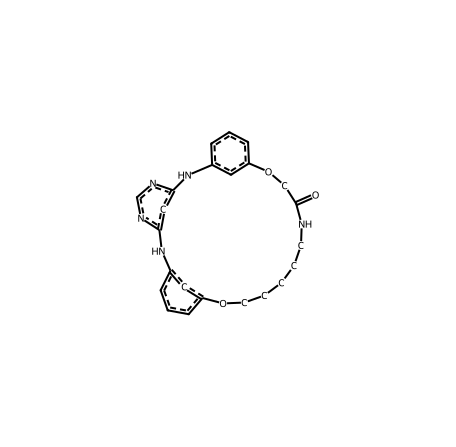 O=C1COc2cccc(c2)Nc2cc(ncn2)Nc2cccc(c2)OCCCCCN1